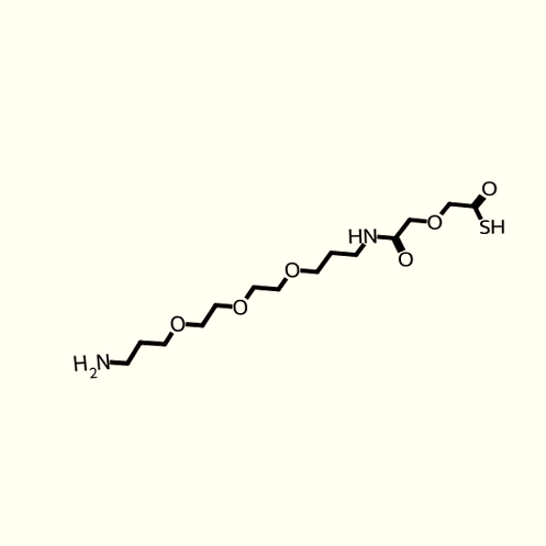 NCCCOCCOCCOCCCNC(=O)COCC(=O)S